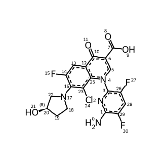 Nc1nc(-n2cc(C(=O)O)c(=O)c3cc(F)c(N4CC[C@@H](O)C4)c(Cl)c32)c(F)cc1F